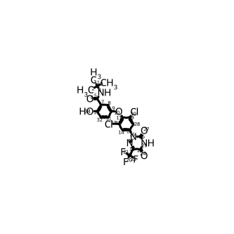 CC(C)(C)NC(=O)c1cc(Oc2c(Cl)cc(-n3nc(C(F)(F)F)c(=O)[nH]c3=O)cc2Cl)ccc1O